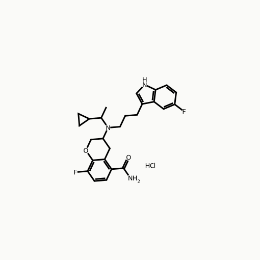 CC(C1CC1)N(CCCc1c[nH]c2ccc(F)cc12)C1COc2c(F)ccc(C(N)=O)c2C1.Cl